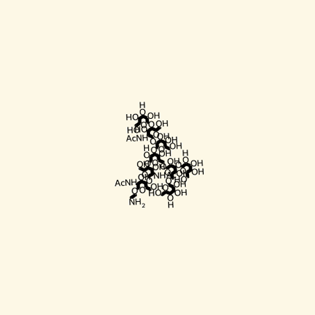 CC(=O)NC1[C@H](OCCN)OC(CO)[C@@H](O[C@@H]2OC(CO)[C@@H](O[C@@H]3OC(CO[C@H]4OC(CO[C@H]5OC(CO)[C@@H](O)[C@H](O)C5O)[C@@H](O)[C@H](O[C@H]5OC(CO)[C@@H](O)C(O)C5O)C4O)[C@@H](O)[C@H](O[C@H]4OC(CO)[C@@H](O)C(O)C4O[C@@H]4OC(CO)[C@@H](O[C@@H]5OC(CO)[C@H](O)[C@H](O)C5O)[C@H](O)C4NC(C)=O)C3O)[C@H](O)C2NC(C)=O)[C@@H]1O